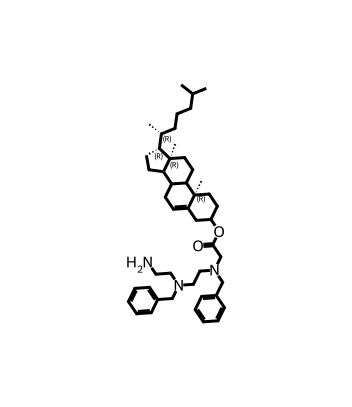 CC(C)CCC[C@@H](C)[C@H]1CCC2C3CC=C4CC(OC(=O)CN(CCN(CCN)Cc5ccccc5)Cc5ccccc5)CC[C@]4(C)C3CC[C@@]21C